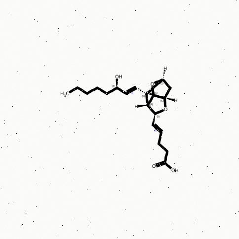 CCCCC[C@@H](O)/C=C/[C@H]1[C@@H]2[C@@H]3O[C@H]1C[C@@H]3O[C@H]2/C=C/CCC(=O)O